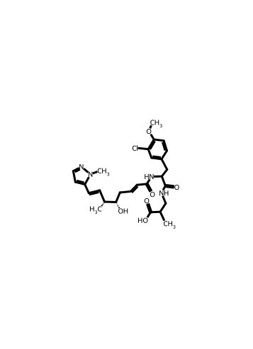 COc1ccc(CC(NC(=O)/C=C/C[C@H](O)[C@H](C)/C=C/c2ccnn2C)C(=O)NCC(C)C(=O)O)cc1Cl